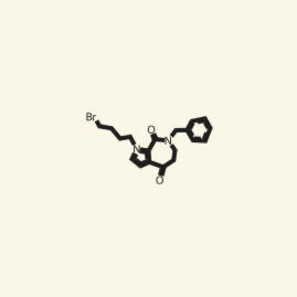 O=C1CCN(Cc2ccccc2)C(=O)c2c1ccn2CCCCBr